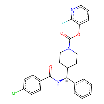 O=C(N[C@H](c1ccccc1)C1CCN(C(=O)Oc2cccnc2F)CC1)c1ccc(Cl)cc1